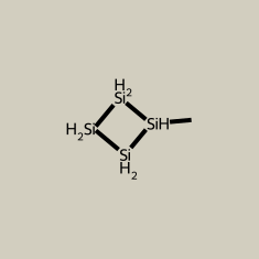 C[SiH]1[SiH2][SiH2][SiH2]1